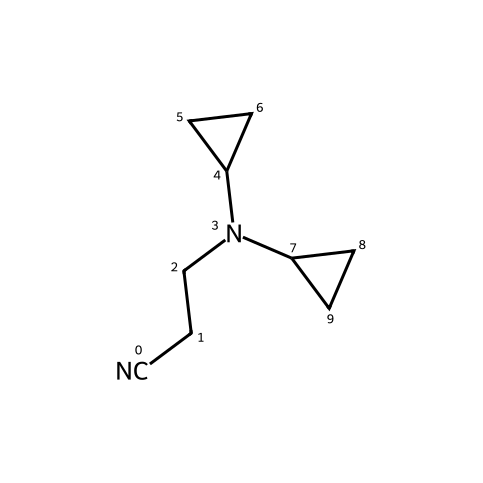 N#CCCN(C1CC1)C1CC1